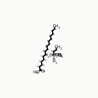 CCCCCCCCCCCCCCCCCC(=O)O.CCC[N+](C)(C)C.O.[Cl-]